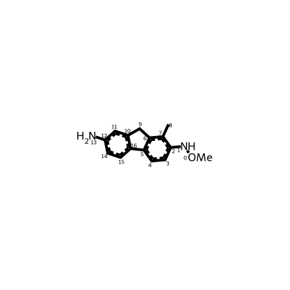 CONc1ccc2c(c1C)Cc1cc(N)ccc1-2